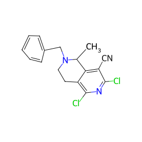 CC1c2c(C#N)c(Cl)nc(Cl)c2CCN1Cc1ccccc1